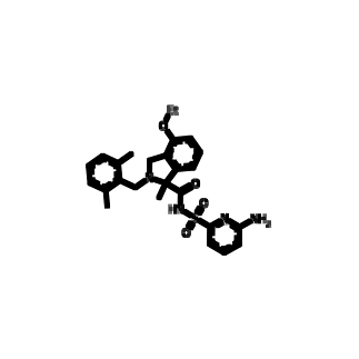 CCOc1cccc2c1CN(Cc1c(C)cccc1C)C2(C)C(=O)NS(=O)(=O)c1cccc(N)n1